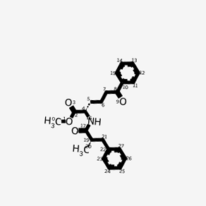 COC(=O)[C@H](CCCC(=O)c1ccccc1)NC(=O)[C@@H](C)Cc1ccccc1